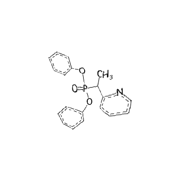 CC(c1ccccn1)P(=O)(Oc1ccccc1)Oc1ccccc1